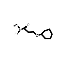 CCCN(CC)C(=O)CCOC1CCCCC1